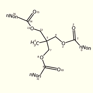 CCCCCCCCCC(=O)OCC(C)(COC(=O)CCCCCCCCC)COC(=O)CCCCCCCCC